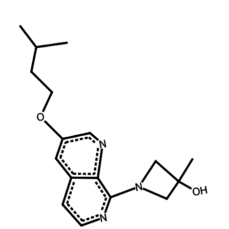 CC(C)CCOc1cnc2c(N3CC(C)(O)C3)nccc2c1